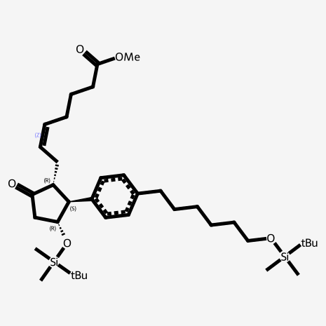 COC(=O)CCC/C=C\C[C@H]1C(=O)C[C@@H](O[Si](C)(C)C(C)(C)C)[C@@H]1c1ccc(CCCCCCO[Si](C)(C)C(C)(C)C)cc1